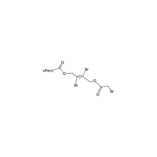 CCCCCC(=O)OC/C(Br)=C(\Br)COC(=O)CBr